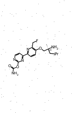 CC(C)C[C@](C)(N)COc1ccc(-c2ccnc(OC(N)=O)n2)nc1CF